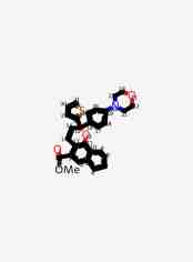 COC(=O)c1cc2ccccc2c2c1C=CC(c1ccc(N3CCOCC3)cc1)(c1cccs1)O2